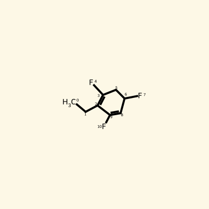 CCC1=C(F)CC(F)C=C1F